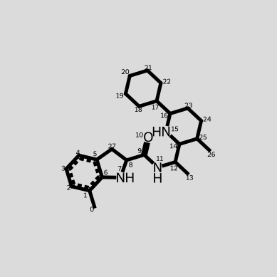 Cc1cccc2c1NC(C(=O)NC(C)C1NC(C3CCCCC3)CCC1C)C2